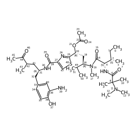 CC[C@H](C)[C@H](NC(=O)C(C)(C)N(C)C)C(=O)N(C)[C@H](C[C@@H](OC(C)=O)c1nc(C(=O)N[C@@H](Cc2ccc(O)c(N)c2)CC(C)C(C)=O)cs1)C(C)C